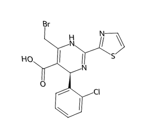 O=C(O)C1=C(CBr)NC(c2nccs2)=N[C@H]1c1ccccc1Cl